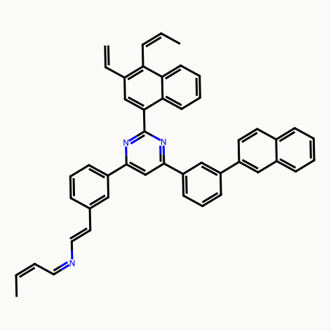 C=Cc1cc(-c2nc(-c3cccc(/C=C/N=C\C=C/C)c3)cc(-c3cccc(-c4ccc5ccccc5c4)c3)n2)c2ccccc2c1/C=C\C